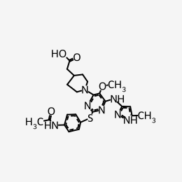 COc1c(Nc2cc(C)[nH]n2)nc(Sc2ccc(NC(C)=O)cc2)nc1N1CCC(CC(=O)O)CC1